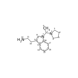 CC(N1CCCC1)n1cc(CCN)c2ccccc21